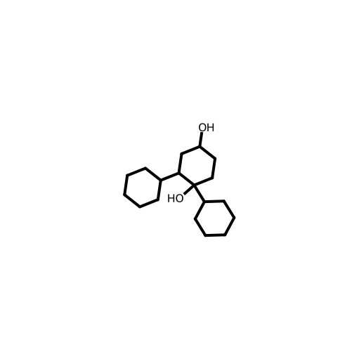 OC1CCC(O)(C2CCCCC2)C(C2CCCCC2)C1